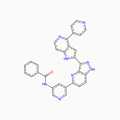 O=C(Nc1cncc(-c2ccc3[nH]nc(-c4cc5c(-c6ccncc6)nccc5[nH]4)c3n2)c1)c1ccccc1